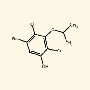 CC(C)Oc1c(Cl)c(O)cc(Br)c1Cl